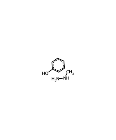 CNN.Oc1ccccc1